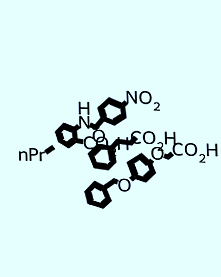 CCCC.O=C(Nc1ccccc1C(=O)O)c1ccc([N+](=O)[O-])cc1.O=C(O)CCc1ccccc1.O=C(O)COc1ccc(OCc2ccccc2)cc1